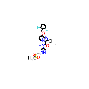 Cc1nc2c(OCc3c(F)cccc3F)cccn2c1C(=O)Nc1cnn(CCS(C)(=O)=O)c1